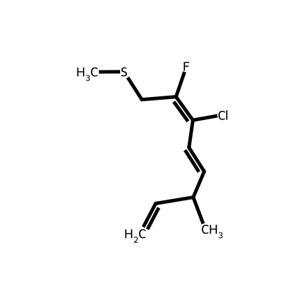 C=CC(C)C=C/C(Cl)=C(/F)CSC